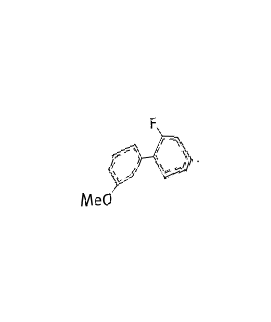 COc1cccc(-c2cc[c]cc2F)c1